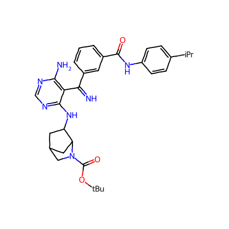 CC(C)c1ccc(NC(=O)c2cccc(C(=N)c3c(N)ncnc3NC3CC4CC3N(C(=O)OC(C)(C)C)C4)c2)cc1